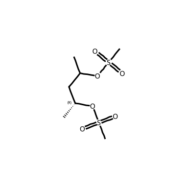 CC(C[C@@H](C)OS(C)(=O)=O)OS(C)(=O)=O